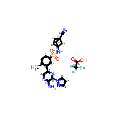 Cc1ccc(S(=O)(=O)NC23CCC(C#N)(C2)C3)cc1-c1cnc(N)c(-n2cccn2)n1.O=C(O)C(F)(F)F